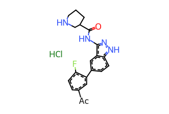 CC(=O)c1ccc(F)c(-c2ccc3[nH]nc(NC(=O)C4CCCNC4)c3c2)c1.Cl